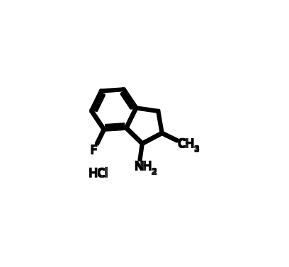 CC1Cc2cccc(F)c2C1N.Cl